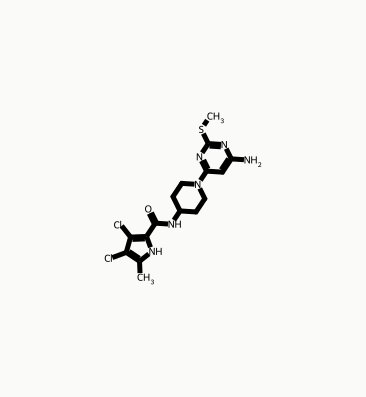 CSc1nc(N)cc(N2CCC(NC(=O)c3[nH]c(C)c(Cl)c3Cl)CC2)n1